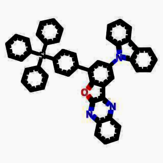 c1ccc([Si](c2ccccc2)(c2ccccc2)c2ccc(-c3cc(-n4c5ccccc5c5ccccc54)cc4c3oc3nc5ccccc5nc34)cc2)cc1